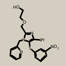 CC(C)c1nc(COCCO)n(Cc2ccccn2)c1Sc1cccc([N+](=O)[O-])c1